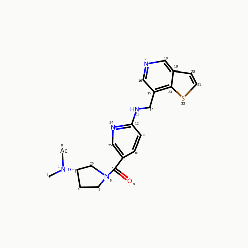 CC(=O)N(C)[C@H]1CCN(C(=O)c2ccc(NCc3cncc4ccsc34)nc2)C1